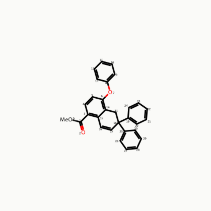 COC(=O)c1ccc(Oc2ccccc2)c2c1C=CC(c1ccccc1)(c1ccccc1)C2